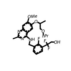 CCCOCC(C)Oc1cc2c(NCc3cccc(C(F)(F)CO)c3F)nc(C)nc2cc1OC